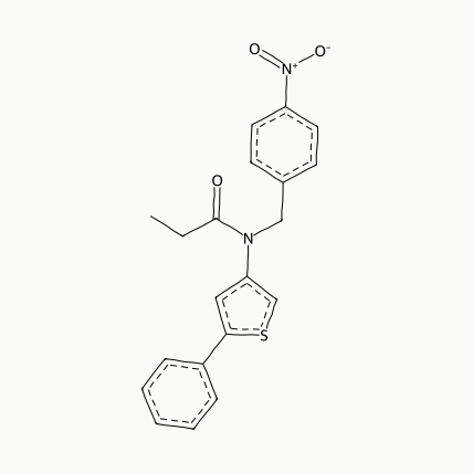 CCC(=O)N(Cc1ccc([N+](=O)[O-])cc1)c1csc(-c2ccccc2)c1